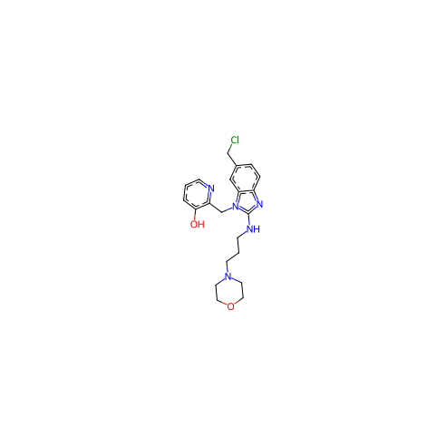 Oc1cccnc1Cn1c(NCCCN2CCOCC2)nc2ccc(CCl)cc21